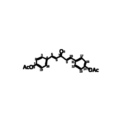 CC(=O)Oc1ccc(C=CC(=O)C=Cc2ccc(OC(C)=O)cc2)cc1